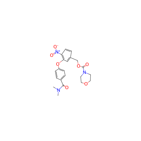 CN(C)C(=O)c1ccc(Oc2cc(COC(=O)N3CCOCC3)ccc2[N+](=O)[O-])cc1